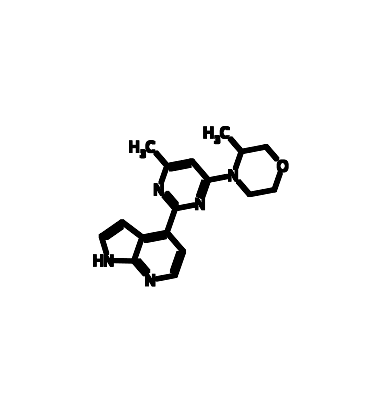 Cc1cc(N2CCOCC2C)nc(-c2ccnc3[nH]ccc23)n1